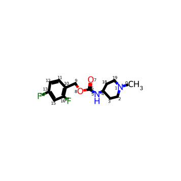 CN1CCC(NC(=O)OCc2ccc(F)cc2F)CC1